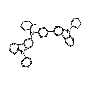 CC1=C(N(c2ccc(-c3ccc4c(c3)c3ccccc3n4C3=CCCC=C3)cc2)c2ccc3c(c2)c2ccccc2n3-c2ccccc2)C=CCC1